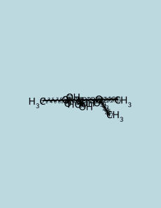 CCCCCCCCCCCOC(=O)C(O)CCCCN(CCCCCCCC(=O)OC(CCCCCCCC)CCCCCCCC)C(O)C(O)O